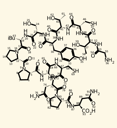 CC[C@H](C)[C@H](NC(=O)[C@@H]1CCCN1C(=O)[C@@H]1CCCN1C(=O)[C@@H](NC(=O)[C@H](CO)NC(=O)[C@H](Cc1ccc(O)cc1)NC(=O)[C@@H](NC(=O)[C@H](CS)NC(=O)[C@@H](NC(=O)CN)[C@@H](C)O)[C@@H](C)O)[C@@H](C)CC)C(=O)N[C@@H](CS)C(=O)N[C@@H](CC(N)=O)C(=O)N1CCC[C@H]1C(=O)N[C@@H](CC(N)=O)C(=O)O